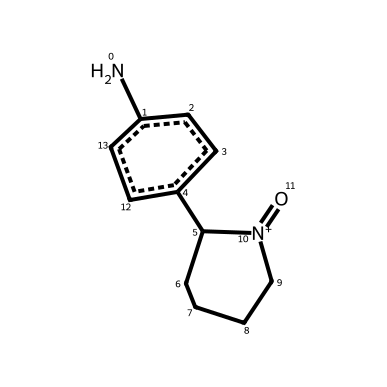 Nc1ccc(C2CCCC[N+]2=O)cc1